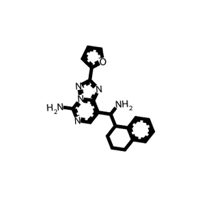 Nc1ncc(C(N)C2CCCc3ccccc32)c2nc(-c3ccco3)nn12